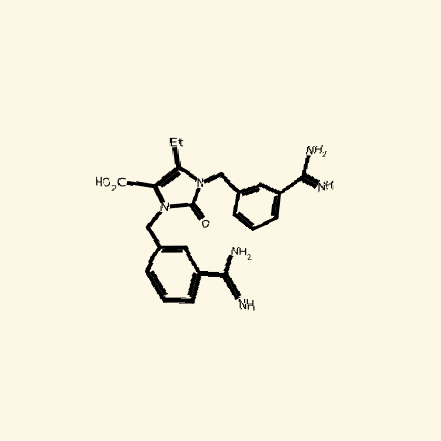 CCc1c(C(=O)O)n(Cc2cccc(C(=N)N)c2)c(=O)n1Cc1cccc(C(=N)N)c1